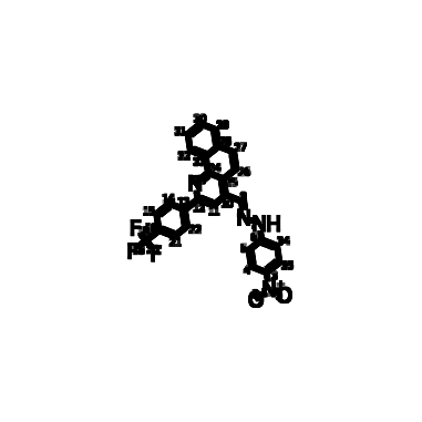 O=[N+]([O-])c1ccc(NN=Cc2cc(-c3ccc(C(F)(F)F)cc3)nc3c2ccc2ccccc23)cc1